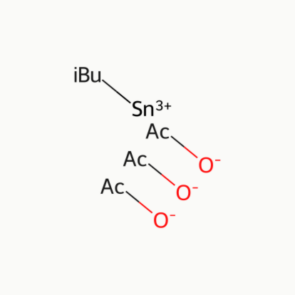 CC(=O)[O-].CC(=O)[O-].CC(=O)[O-].CC[CH](C)[Sn+3]